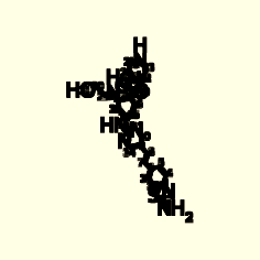 Nc1nc2ccc(C=Cc3cnc(Nc4ccc(S(=O)(=O)N5CCNCC5)c(NCCO)c4)nc3)cc2s1